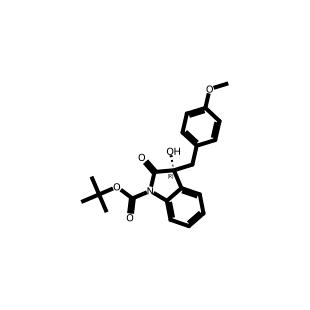 COc1ccc(C[C@]2(O)C(=O)N(C(=O)OC(C)(C)C)c3ccccc32)cc1